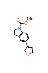 CC(C)(C)OC(=O)N1CCc2cc(C3=CCOC3)ccc21